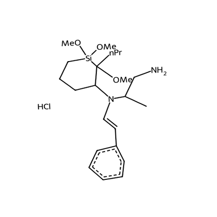 CCCC1(OC)C(N(C=Cc2ccccc2)C(C)CN)CCC[Si]1(OC)OC.Cl